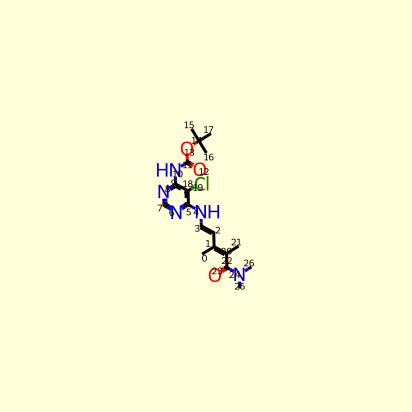 CC(/C=C/Nc1ncnc(NC(=O)OC(C)(C)C)c1Cl)=C(/C)C(=O)N(C)C